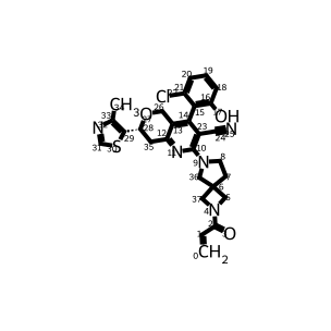 C=CC(=O)N1CC2(CCN(c3nc4c(c(-c5c(O)cccc5Cl)c3C#N)CO[C@@H](c3scnc3C)C4)C2)C1